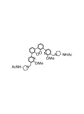 COc1nc(-c2cccc(-c3cccc(-c4ccc(CN5CC[C@H](NC(C)=O)C5)c(OC)n4)c3Cl)c2Cl)ccc1CN1CC[C@H](NC(C)=O)C1